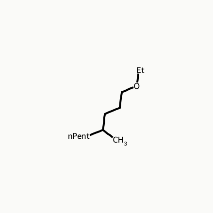 C[CH]CCCC(C)CCCOCC